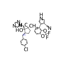 CC1(C)CC/C(=C\c2ccc(Cl)cc2)C1(O)Cn1cncn1.N#Cc1c[nH]cc1-c1cccc2c1OC(F)(F)O2